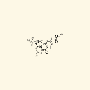 CCOC(=O)CC1CCN(C(=O)[C@H](CC(C)C)N2CCN[C@@H](CC(C)C)C2)CC1